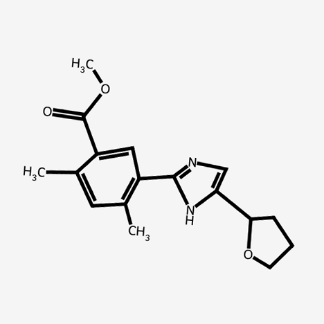 COC(=O)c1cc(-c2ncc(C3CCCO3)[nH]2)c(C)cc1C